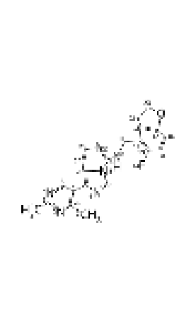 Cc1ncc(-c2ncn3c(NCc4c(F)ccc5c4CCO5)nccc23)c(C)n1